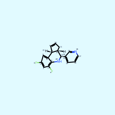 Fc1cc(F)c2c(c1)[C@@H]1C=CC[C@@H]1[C@@H](c1cccnc1)N2